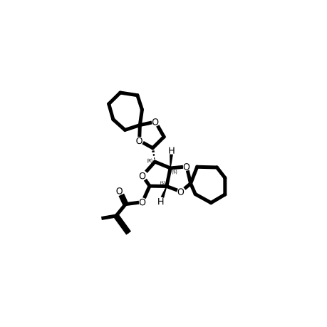 C=C(C)C(=O)OC1O[C@H](C2COC3(CCCCCC3)O2)[C@@H]2OC3(CCCCCC3)O[C@H]12